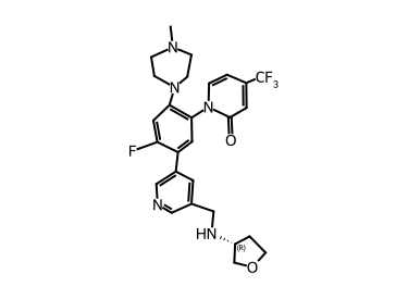 CN1CCN(c2cc(F)c(-c3cncc(CN[C@@H]4CCOC4)c3)cc2-n2ccc(C(F)(F)F)cc2=O)CC1